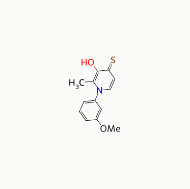 COc1cccc(-n2ccc(=S)c(O)c2C)c1